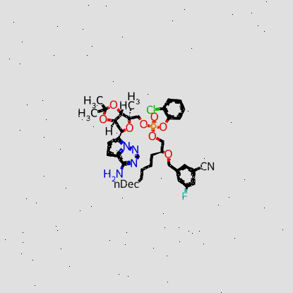 CCCCCCCCCCCCCC[C@@H](COP(=O)(OC[C@@]1(C)O[C@@H](c2ccc3c(N)ncnn23)[C@@H]2OC(C)(C)O[C@@H]21)Oc1ccccc1Cl)OCc1cc(F)cc(C#N)c1